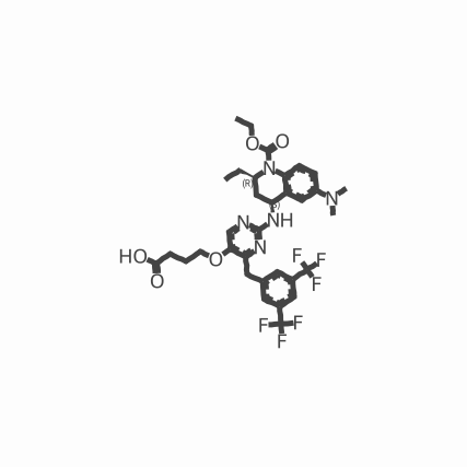 CCOC(=O)N1c2ccc(N(C)C)cc2[C@@H](Nc2ncc(OCCCC(=O)O)c(Cc3cc(C(F)(F)F)cc(C(F)(F)F)c3)n2)C[C@H]1CC